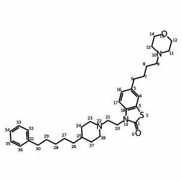 O=c1sc2cc(CCCCN3CCOCC3)ccc2n1CCN1CCC(CCCCCc2ccccc2)CC1